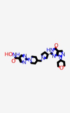 O=C(NO)c1cnc(N2CCC(CN3CC[C@H](c4nc5c(cnn5C5CCOCC5)c(=O)[nH]4)C3)CC2)nc1